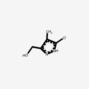 Cc1c(CO)n[nH]c1Cl